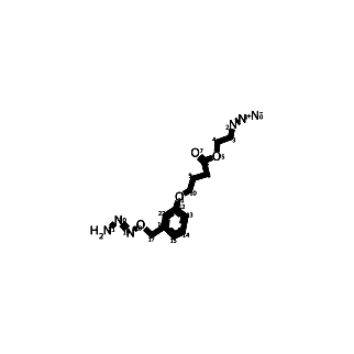 [N-]=[N+]=NCCOC(=O)CCCOc1cccc(CON=NN)c1